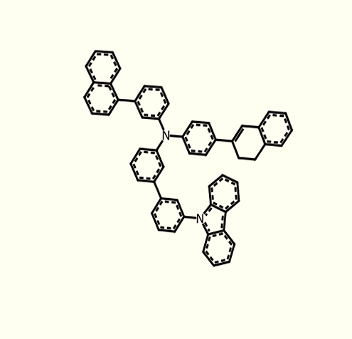 C1=C(c2ccc(N(c3cccc(-c4cccc(-n5c6ccccc6c6ccccc65)c4)c3)c3cccc(-c4cccc5ccccc45)c3)cc2)CCc2ccccc21